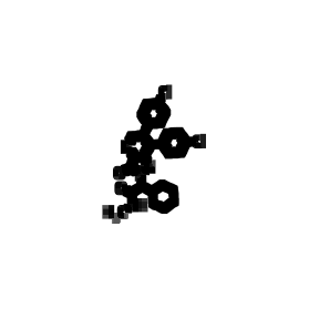 CNC(=O)C(C1CCCCC1)n1nc2c(-c3ccc(Cl)cc3)c(-c3ccc(Cl)cc3)cnn2c1=O